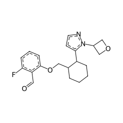 O=Cc1c(F)cccc1OCC1CCCCC1c1ccnn1C1COC1